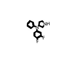 Fc1ccc(N(c2ccccc2)C2CCNC2)cc1F